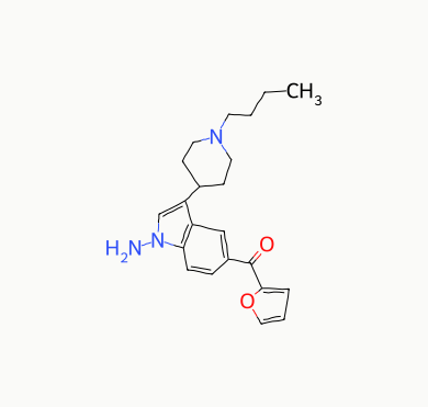 CCCCN1CCC(c2cn(N)c3ccc(C(=O)c4ccco4)cc23)CC1